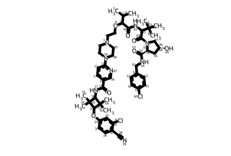 CC(C)C(OCCN1CCN(c2ccc(C(=O)NC3C(C)(C)C(Oc4ccc(C#N)c(Cl)c4)C3(C)C)cn2)CC1)C(=O)NC(C(=O)N1C[C@H](O)C[C@H]1C(=O)NCc1ccc(Cl)cc1)C(C)(C)C